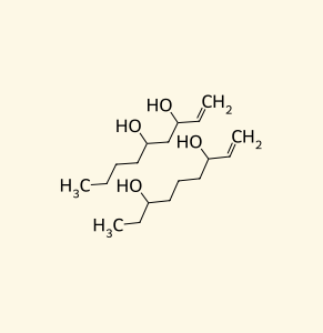 C=CC(O)CC(O)CCCC.C=CC(O)CCCC(O)CC